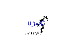 CCCCCCCCCCc1nc(C)cn1CN